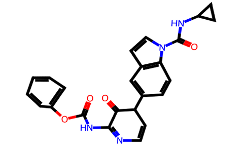 O=C(NC1=NC=CC(c2ccc3c(ccn3C(=O)NC3CC3)c2)C1=O)Oc1ccccc1